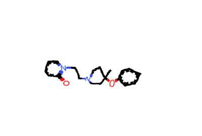 CC1(Oc2ccccc2)CCN(CCn2ccccc2=O)CC1